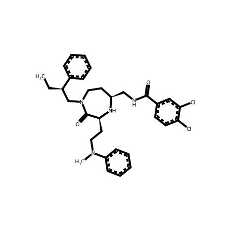 CC[C@H](CN1CC[C@@H](CNC(=O)c2ccc(Cl)c(Cl)c2)N[C@@H](CCN(C)c2ccccc2)C1=O)c1ccccc1